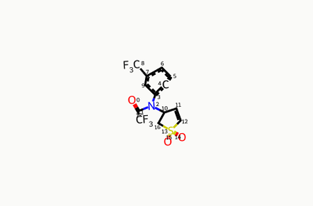 O=C(N(c1cccc(C(F)(F)F)c1)C1C=CS(=O)(=O)C1)C(F)(F)F